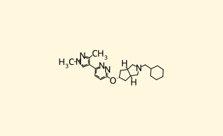 Cc1nn(C)cc1-c1ccc(O[C@@H]2C[C@@H]3CN(CC4CCCCC4)C[C@@H]3C2)nn1